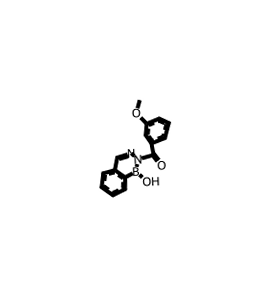 COc1cccc(C(=O)N2N=Cc3ccccc3B2O)c1